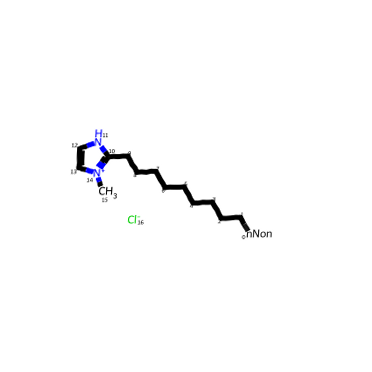 CCCCCCCCCCCCCCCCCCc1[nH]cc[n+]1C.[Cl-]